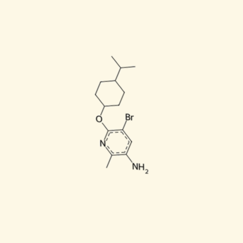 Cc1nc(OC2CCC(C(C)C)CC2)c(Br)cc1N